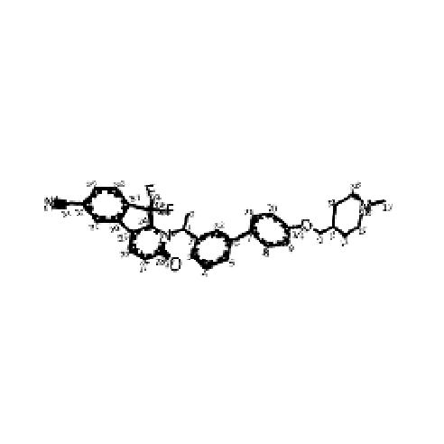 CC(c1cccc(-c2ccc(OCC3CCN(C)CC3)cc2)c1)n1c2c(ccc1=O)-c1cc(C#N)ccc1C2(F)F